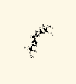 COC(C)(C)c1ncc(S(N)(=O)=NC(=O)OC(C)(C)C)s1